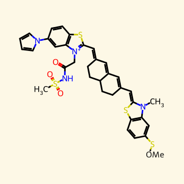 COSc1ccc2c(c1)N(C)/C(=C/C1=CC3=C/C(=C/c4sc5ccc(-n6cccc6)cc5[n+]4CC(=O)NS(C)(=O)=O)CCC3CC1)S2